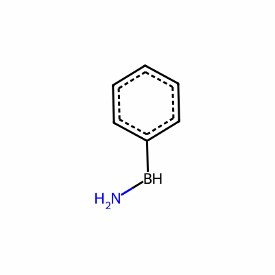 NBc1ccccc1